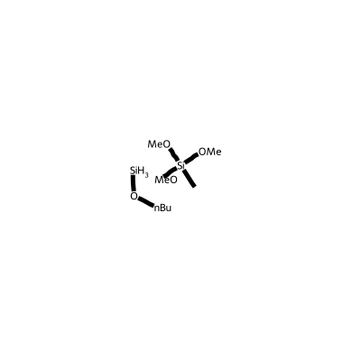 CCCCO[SiH3].CO[Si](C)(OC)OC